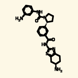 Nc1cccc(NC(=O)N2CCC[C@@H]2c2cccc(C(=O)Nc3nc4c(s3)C[C@H](N)CC4)c2)c1